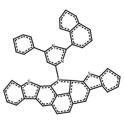 c1ccc(-c2cc(-n3c4c5sc6ccccc6c5cc5ccc6cc7c8ccccc8sc7c3c6c54)nc(-c3cccc4ccccc34)n2)cc1